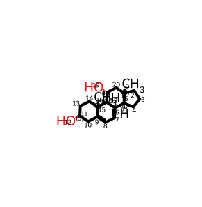 C[C@@]12CCC[C@H]1C1=CC=C3C[C@@H](O)CC[C@]3(C)[C@H]1[C@H](O)C2